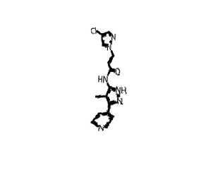 Cc1c(-c2ccncc2)n[nH]c1NC(=O)C=Cn1cc(Cl)cn1